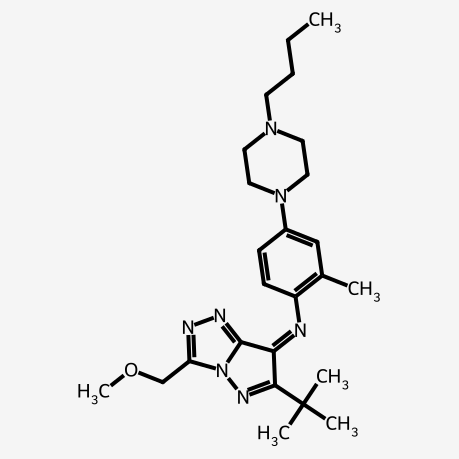 CCCCN1CCN(c2ccc(/N=C3/C(C(C)(C)C)=Nn4c(COC)nnc43)c(C)c2)CC1